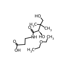 CC(C)(CO)[C@@H](O)C(=O)NCCC(=O)O.CCOCC